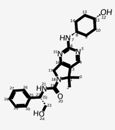 CC1(C)c2cnc(N[C@H]3CC[C@@H](O)CC3)nc2CN1C(=O)N[C@H](CO)c1ccccc1